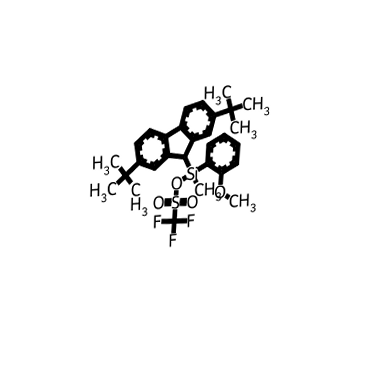 COc1ccccc1[Si](C)(OS(=O)(=O)C(F)(F)F)C1c2cc(C(C)(C)C)ccc2-c2ccc(C(C)(C)C)cc21